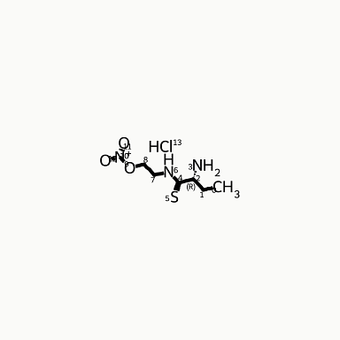 CC[C@@H](N)C(=S)NCCO[N+](=O)[O-].Cl